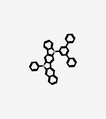 c1ccc(-c2cc(-c3ccccc3)cc(-n3c4ccccc4c4cc5c(cc43)c3cc4ccccc4cc3n5-c3ccccc3)c2)cc1